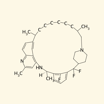 Cc1cc2c3cc(ccc3n1)C(C)CCCCCCC(C)CN1CCC(CC1)C(F)(F)c1cccc(c1F)[C@@H](C)N2